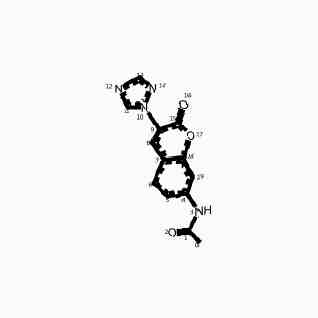 CC(=O)Nc1ccc2cc(-n3cncn3)c(=O)oc2c1